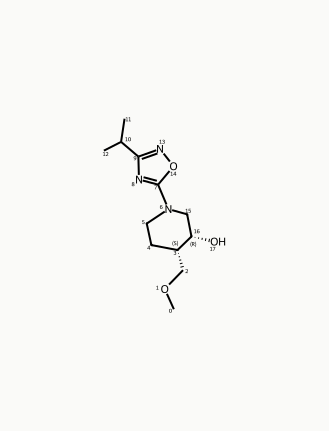 COC[C@@H]1CCN(c2nc(C(C)C)no2)C[C@@H]1O